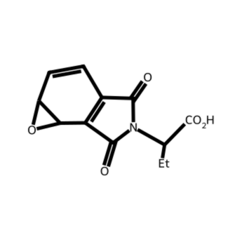 CCC(C(=O)O)N1C(=O)C2=C(C1=O)C1OC1C=C2